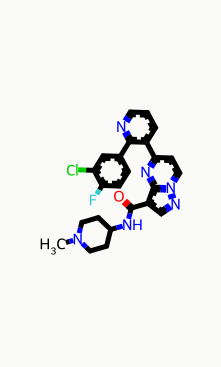 CN1CCC(NC(=O)c2cnn3ccc(-c4cccnc4-c4ccc(F)c(Cl)c4)nc23)CC1